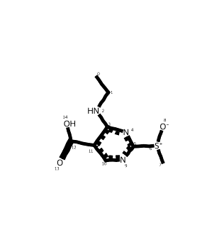 CCNc1nc([S+](C)[O-])ncc1C(=O)O